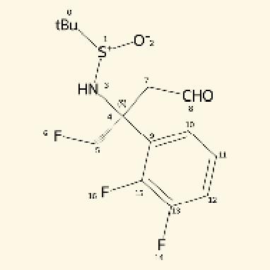 CC(C)(C)[S+]([O-])N[C@@](CF)(CC=O)c1cccc(F)c1F